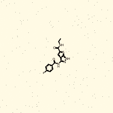 CCNC(=O)c1cc2c(NC(=O)c3ccc(F)cc3)n[nH]c2s1